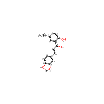 CC(=O)Nc1ccc(O)c(C(=O)/C=C/c2ccc3c(c2)OCO3)c1